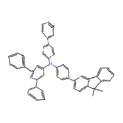 CC1(C)c2ccccc2-c2cc(-c3ccc(N(c4ccc(-c5ccccc5)cc4)c4cc(-c5ccccc5)cc(-c5ccccc5)c4)cc3)ccc21